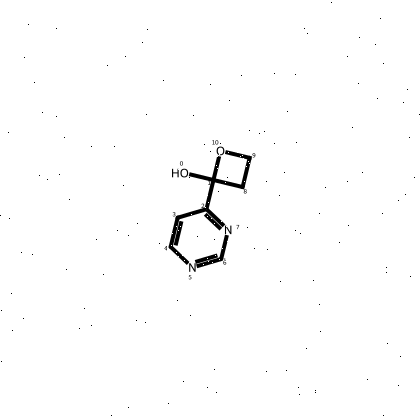 OC1(c2ccn[c]n2)CCO1